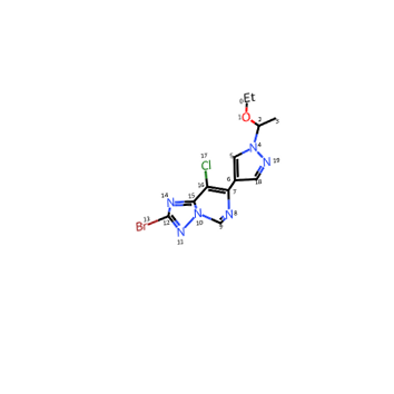 CCOC(C)n1cc(-c2ncn3nc(Br)nc3c2Cl)cn1